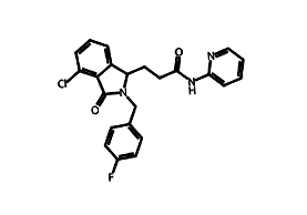 O=C(CCC1c2cccc(Cl)c2C(=O)N1Cc1ccc(F)cc1)Nc1ccccn1